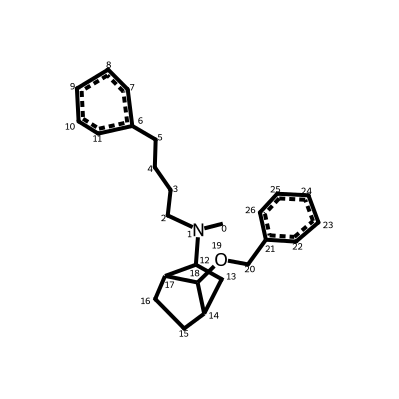 CN(CCCCc1ccccc1)C1CC2CCC1C2OCc1ccccc1